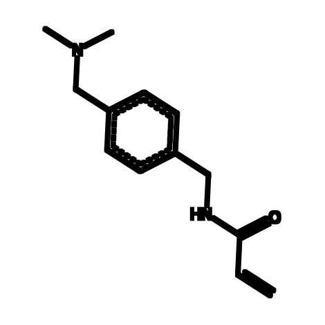 C=CC(=O)NCc1ccc(CN(C)C)cc1